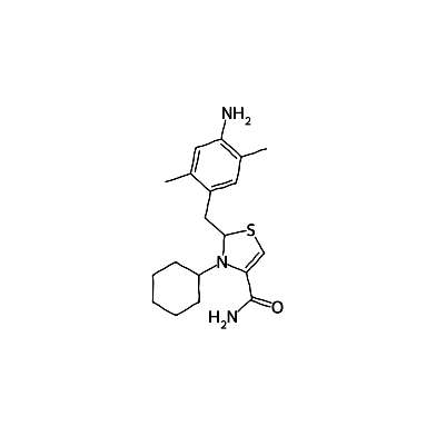 Cc1cc(CC2SC=C(C(N)=O)N2C2CCCCC2)c(C)cc1N